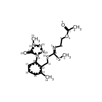 CSC(=NCCOC(C)=O)SCc1c(C)cccc1-n1nnn(C)c1=O